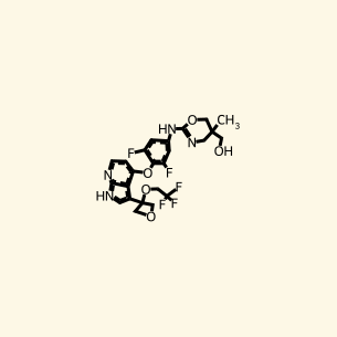 CC1(CO)CN=C(Nc2cc(F)c(Oc3ccnc4[nH]cc(C5(OCC(F)(F)F)COC5)c34)c(F)c2)OC1